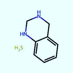 S.c1ccc2c(c1)CNCN2